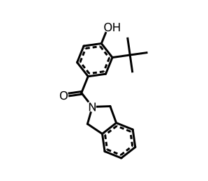 CC(C)(C)c1cc(C(=O)N2Cc3ccccc3C2)ccc1O